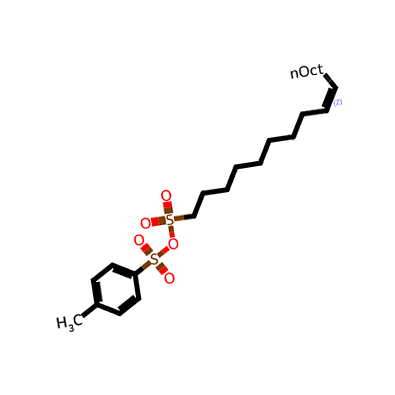 CCCCCCCC/C=C\CCCCCCCCS(=O)(=O)OS(=O)(=O)c1ccc(C)cc1